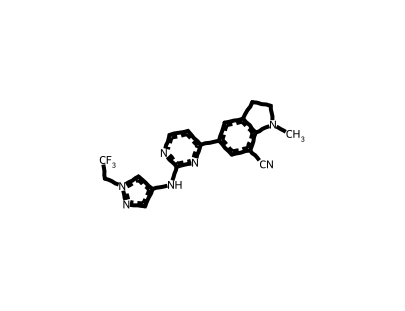 CN1CCc2cc(-c3ccnc(Nc4cnn(CC(F)(F)F)c4)n3)cc(C#N)c21